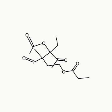 CCC(=O)OCCC(C)([C]=O)C(CC)(OC(C)=O)C(C)=O